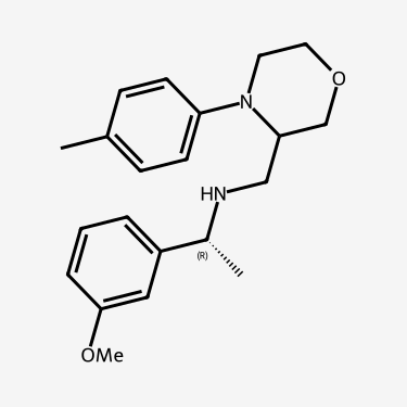 COc1cccc([C@@H](C)NCC2COCCN2c2ccc(C)cc2)c1